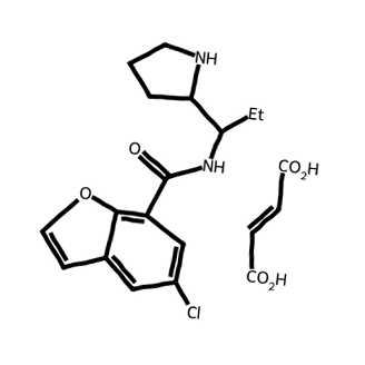 CCC(NC(=O)c1cc(Cl)cc2ccoc12)C1CCCN1.O=C(O)/C=C/C(=O)O